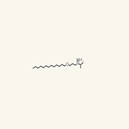 CCCCCCCCCCCCCOCCCN(N)C(C)C